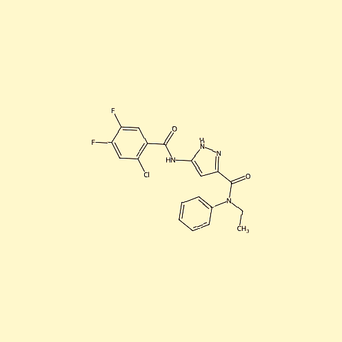 CCN(C(=O)c1cc(NC(=O)c2cc(F)c(F)cc2Cl)[nH]n1)c1ccccc1